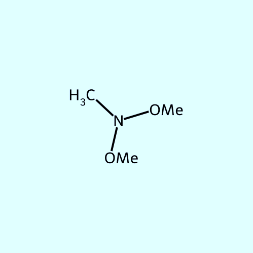 CON(C)OC